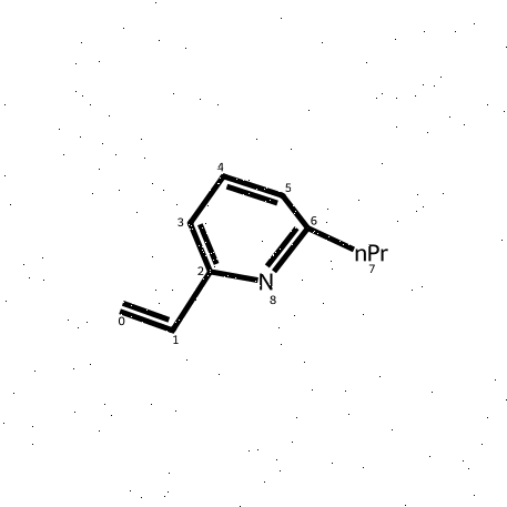 C=Cc1cccc(CCC)n1